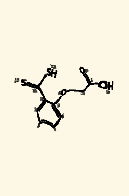 O=C(O)COc1ccccc1C(=S)S